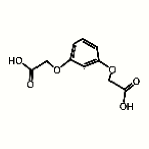 O=C(O)COc1[c]c(OCC(=O)O)ccc1